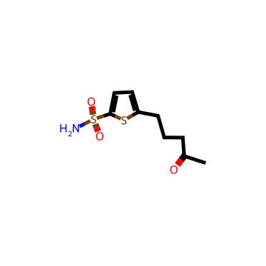 CC(=O)CCCc1ccc(S(N)(=O)=O)s1